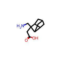 NCC1(CC(=O)O)C2CC3CC2C1C3